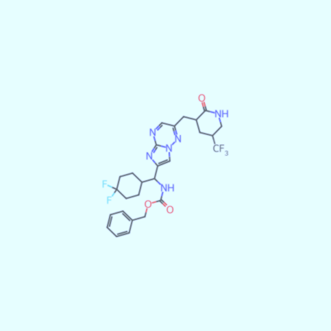 O=C(NC(c1cn2nc(CC3CC(C(F)(F)F)CNC3=O)cnc2n1)C1CCC(F)(F)CC1)OCc1ccccc1